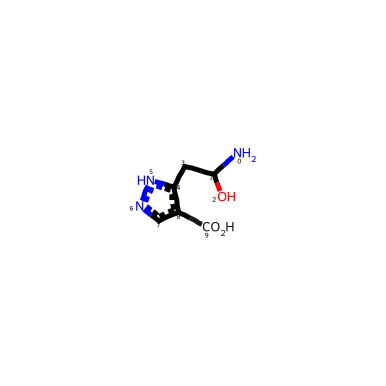 NC(O)Cc1[nH]ncc1C(=O)O